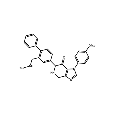 COc1ccc(-n2cnc3c2C(=O)C(c2ccc(-c4ccccc4)c(CNC(C)(C)C)c2)NC3)cc1